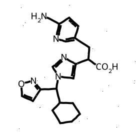 Nc1ccc(CC(C(=O)O)c2cn(C(c3ccon3)C3CCCCC3)cn2)cn1